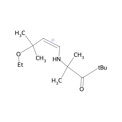 CCOC(C)(C)/C=C\NC(C)(C)C(=O)C(C)(C)C